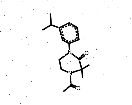 CC(=O)N1CCN(c2cccc(C(C)C)c2)C(=O)C1(C)C